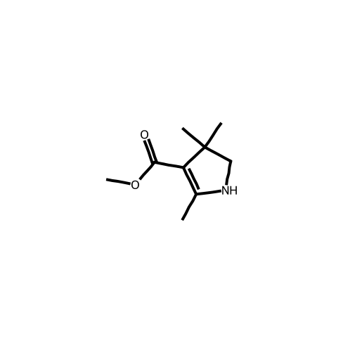 COC(=O)C1=C(C)NCC1(C)C